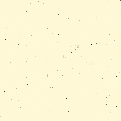 COC(=O)c1ccc2c(c1)NC(=O)C2=C(Nc1ccc(N(CCN(C)C)S(=O)(=O)c2ccccc2)cc1)c1ccccc1